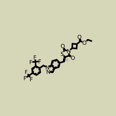 CCOC(=O)C1CC(N2C(=O)S/C(=C\c3ccc4c(cnn4Cc4ccc(C(F)(F)F)cc4C(F)(F)F)c3)C2=O)C1